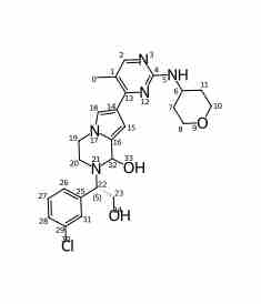 Cc1cnc(NC2CCOCC2)nc1-c1cc2n(c1)CCN([C@H](CO)c1cccc(Cl)c1)C2O